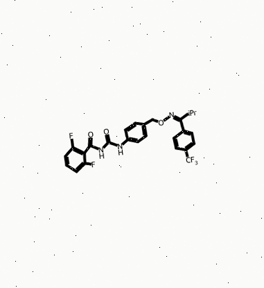 CC(C)C(=NOCc1ccc(NC(=O)NC(=O)c2c(F)cccc2F)cc1)c1ccc(C(F)(F)F)cc1